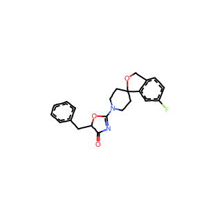 O=C1N=C(N2CCC3(CC2)OCc2ccc(F)cc23)OC1Cc1ccccc1